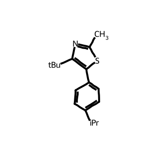 Cc1nc(C(C)(C)C)c(-c2ccc(C(C)C)cc2)s1